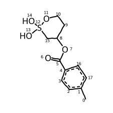 Cc1ccc(C(=O)OC2CCOS(O)(O)C2)cc1